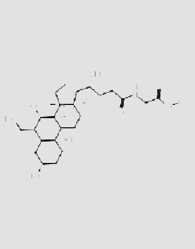 CC[C@@H]1C2C[C@H](O)CC[C@]2(C)C2CC[C@]3(C)[C@@H]([C@H](C)CCC(=O)NCC(=O)OC)CC[C@H]3[C@@H]2[C@@H]1O